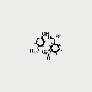 Cc1ccc(O)cc1.O=[N+]([O-])c1cccc([N+](=O)[O-])c1